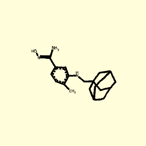 Cc1ccc(C(N)=NO)cc1NCC12CC3CC(CC(C3)C1)C2